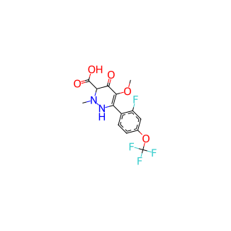 COC1=C(c2ccc(OC(F)(F)F)cc2F)NN(C)C(C(=O)O)C1=O